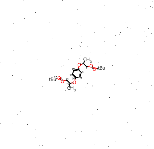 CC(COOC(C)(C)C)Oc1ccc(OC(C)COOC(C)(C)C)cc1